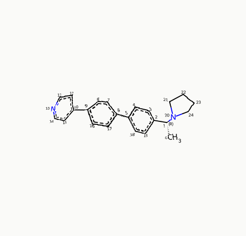 C[C@H](c1ccc(-c2ccc(-c3ccncc3)cc2)cc1)N1CCCC1